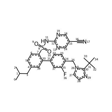 CC(C)Cc1ccc(S(=O)(=O)Nc2ncc(C#N)cn2)c(-c2ccc(Cn3ccnc3C(C)(C)C)c(F)c2)c1